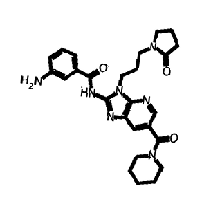 Nc1cccc(C(=O)Nc2nc3cc(C(=O)N4CCCCC4)cnc3n2CCCN2CCCC2=O)c1